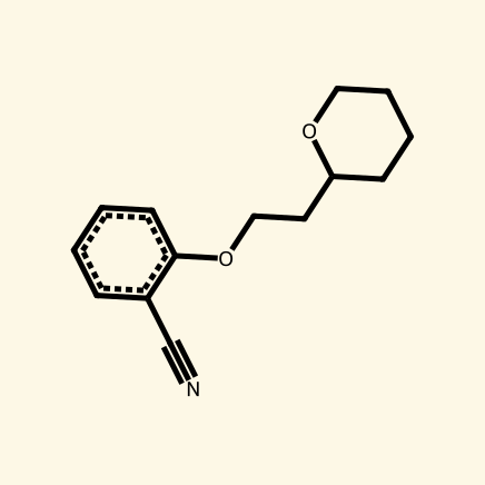 N#Cc1ccccc1OCCC1CCCCO1